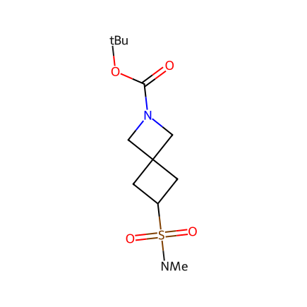 CNS(=O)(=O)C1CC2(C1)CN(C(=O)OC(C)(C)C)C2